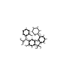 Cc1ccccc1N(c1cc2c(cc1C)C(C)(C)c1cccc(C3CCCCC3)c1-2)C(C)C